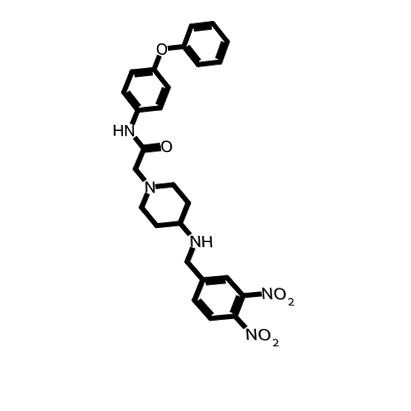 O=C(CN1CCC(NCc2ccc([N+](=O)[O-])c([N+](=O)[O-])c2)CC1)Nc1ccc(Oc2ccccc2)cc1